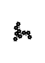 c1ccc(-c2cccc3c2oc2cc(N(c4ccc(-c5cccc6c5oc5ccccc56)cc4)c4cccc5c4c4ccccc4n5-c4ccccc4)ccc23)cc1